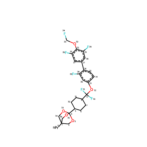 CCCC12COC(C3CCC(C(F)(F)Oc4ccc(-c5cc(F)c(OCF)c(F)c5)c(F)c4)CC3)(OC1)OC2